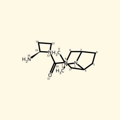 CN(C)N1C2CCC1CN(C(=O)N1CC[C@@H]1N)C2